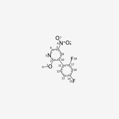 COc1ncc([N+](=O)[O-])cc1-c1ccc(F)cc1F